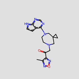 Cc1nonc1C(=O)CN1CCN(c2ncnc3[nH]ccc23)CC2(CC2)C1